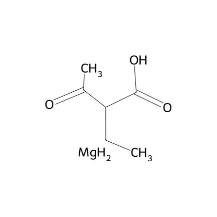 CCC(C(C)=O)C(=O)O.[MgH2]